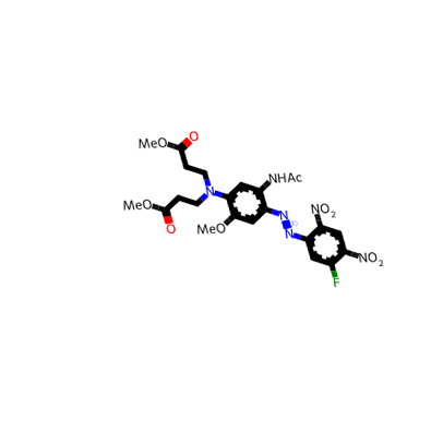 COC(=O)CCN(CCC(=O)OC)c1cc(NC(C)=O)c(/N=N/c2cc(F)c([N+](=O)[O-])cc2[N+](=O)[O-])cc1OC